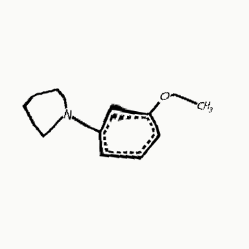 COc1cccc(N2CCC2)c1